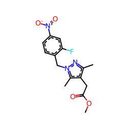 COC(=O)Cc1c(C)nn(Cc2ccc([N+](=O)[O-])cc2F)c1C